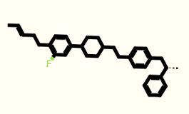 C/C=C/CCc1ccc(C2CCC(CCc3ccc(C[C@H](C)c4ccccc4)cc3)CC2)cc1F